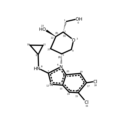 OC[C@@H]1OC[C@H](n2c(NC3CC3)nc3cc(Cl)c(Cl)cc32)C[C@H]1O